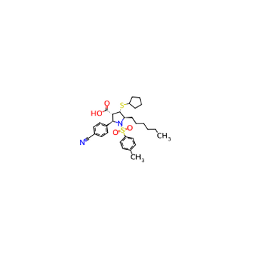 CCCCCC[C@@H]1[C@@H](SC2CCCC2)[C@@H](C(=O)O)[C@H](c2ccc(C#N)cc2)N1S(=O)(=O)c1ccc(C)cc1